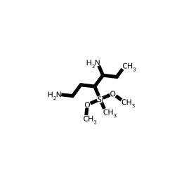 CCC(N)C(CCN)[Si](C)(OC)OC